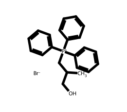 CC(CO)C[P+](c1ccccc1)(c1ccccc1)c1ccccc1.[Br-]